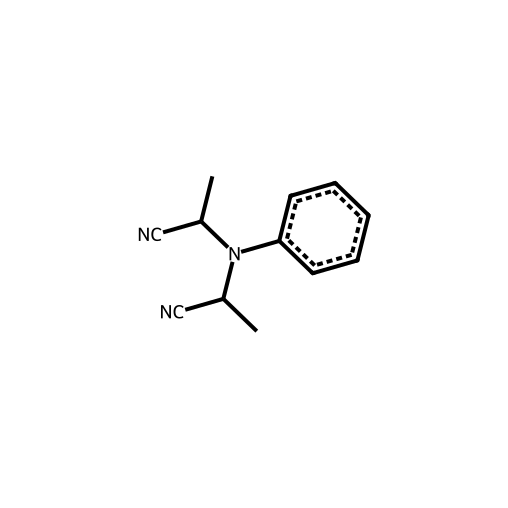 CC(C#N)N(c1ccccc1)C(C)C#N